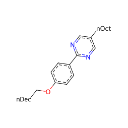 CCCCCCCCCCCOc1ccc(-c2ncc(CCCCCCCC)cn2)cc1